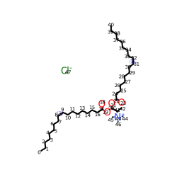 CCCCCCCC/C=C\CCCCCCCC(=O)OC(OC(=O)CCCCCCC/C=C\CCCCCCCC)C(C)[N+](C)(C)C.[Cl-]